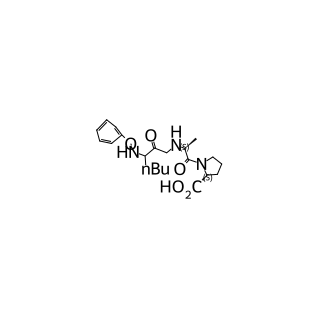 CCCCC(NOc1ccccc1)C(=O)CN[C@@H](C)C(=O)N1CCC[C@H]1C(=O)O